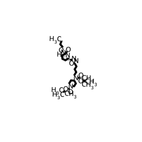 CCCCON1C(=O)N2C[C@@H]1CC[C@H]2c1nnc(CCCCN(C(=O)OC(C)(C)C)C2CCN(C(=O)OC(C)(C)C)CC2)o1